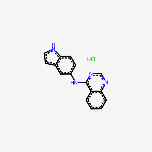 Cl.c1ccc2c(Nc3ccc4[nH]ccc4c3)ncnc2c1